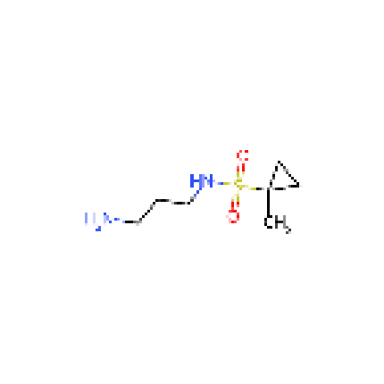 CC1(S(=O)(=O)NCCCN)CC1